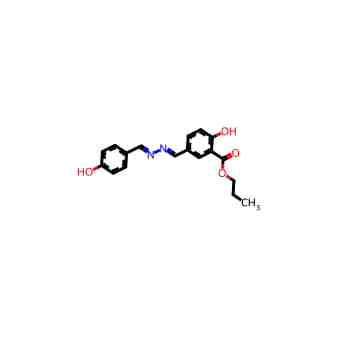 CCCOC(=O)c1cc(/C=N/N=C/c2ccc(O)cc2)ccc1O